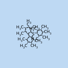 Cc1c(C)c(C)c(-[s+]2c3c(C)c(C)c(C)c(C)c3c3c(C)c(C)c(C)c(C)c32)c(C)c1C